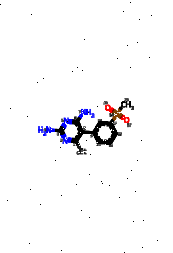 CCc1nc(N)nc(N)c1-c1cccc(S(C)(=O)=O)c1